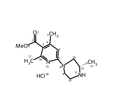 COC(=O)c1c(C)cc(N2CCN[C@@H](C)C2)nc1C.Cl